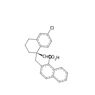 O=C[C@@]1(Cc2ccc3ccccc3c2C(=O)O)CCCc2cc(Cl)ccc21